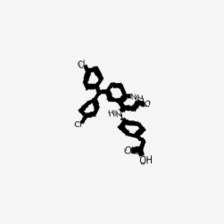 O=C(O)Cc1ccc(Nc2cc(=O)[nH]c3ccc(C(c4ccc(Cl)cc4)c4ccc(Cl)cc4)cc23)cc1